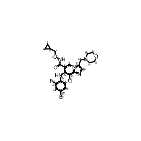 O=C(NOCC1CC1)c1cn2c(CN3CCOCC3)cnc2c(Cl)c1Nc1ccc(Br)cc1F